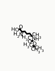 CC(C)(CCC[C@H](N)C(=O)O)NC(=O)OC(C)(C)C